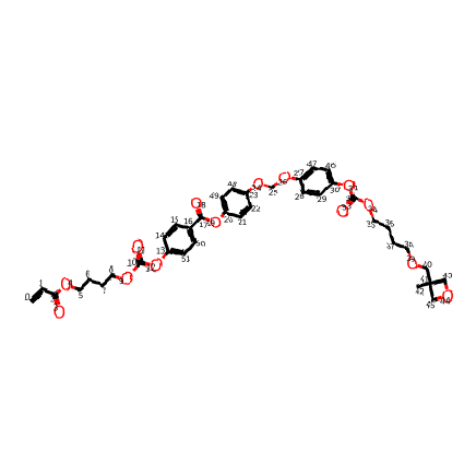 C=CC(=O)OCCCCOC(=O)Oc1ccc(C(=O)Oc2ccc(OCOc3ccc(OC(=O)OCCCCOCC4(C)COC4)cc3)cc2)cc1